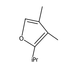 Cc1coc(C(C)C)c1C